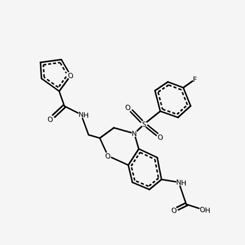 O=C(O)Nc1ccc2c(c1)N(S(=O)(=O)c1ccc(F)cc1)CC(CNC(=O)c1ccco1)O2